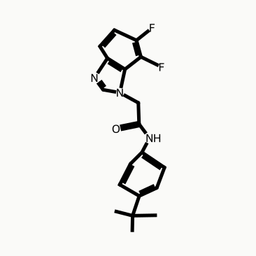 CC(C)(C)c1ccc(NC(=O)Cn2cnc3ccc(F)c(F)c32)cc1